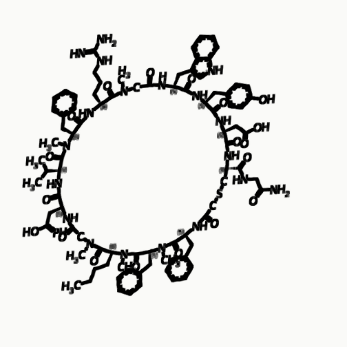 CCCC[C@H]1C(=O)N(C)CC(=O)N[C@@H](CC(O)=P)C(=O)N[C@@H](C(C)C)C(=O)N(C)[C@@H](Cc2ccccc2)C(=O)N[C@@H](CCCNC(=N)N)C(=O)N(C)CC(=O)N[C@@H](Cc2c[nH]c3ccccc23)C(=O)N[C@@H](Cc2ccc(O)cc2)C(=O)N[C@@H](CC(=O)O)C(=O)N[C@H](C(=O)NCC(N)=O)CSCC(=O)N[C@@H](Cc2ccccc2)C(=O)N(C)[C@@H](Cc2ccccc2)C(=O)N1C